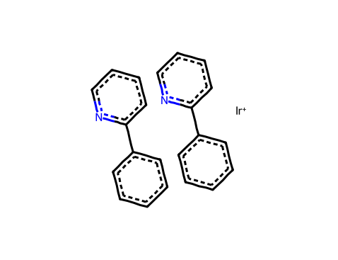 [Ir+].c1ccc(-c2ccccn2)cc1.c1ccc(-c2ccccn2)cc1